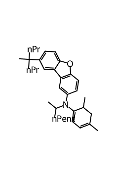 CCCCCC(C)N(C1=CC=C(C)CC1C)c1ccc2oc3ccc(C(C)(CCC)CCC)cc3c2c1